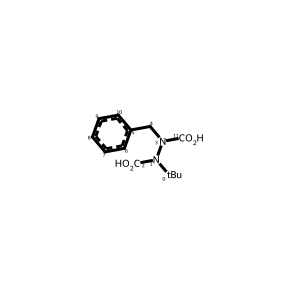 CC(C)(C)N(C(=O)O)N(Cc1ccccc1)C(=O)O